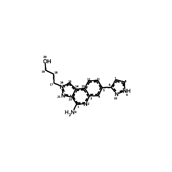 Nc1nc2cc(-c3cc[nH]n3)ccc2c2cn(CCCO)nc12